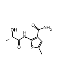 Cc1cc(C(N)=O)c(NC(=O)[C@H](C)O)s1